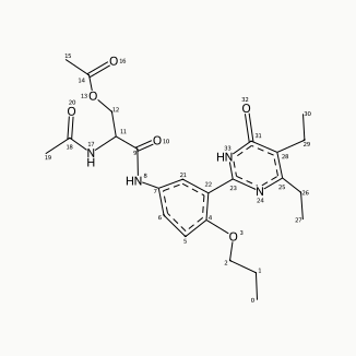 CCCOc1ccc(NC(=O)C(COC(C)=O)NC(C)=O)cc1-c1nc(CC)c(CC)c(=O)[nH]1